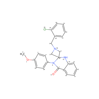 COc1ccc(N2C(=O)c3ccccc3NC23CN(Cc2ccccc2Cl)C3)cc1